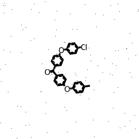 Cc1ccc(Oc2ccc(C(=O)c3ccc(Oc4ccc(Cl)cc4)cc3)cc2)cc1